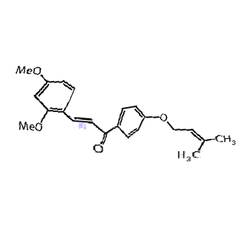 COc1ccc(/C=C/C(=O)c2ccc(OCC=C(C)C)cc2)c(OC)c1